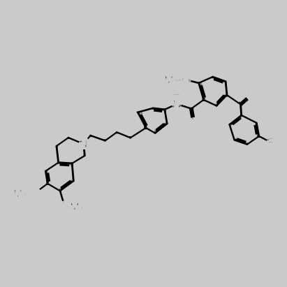 COc1cc2c(cc1OC)CN(CCCCc1ccc(NC(=O)c3cc(C(=O)c4cccc(F)c4)ccc3OC)cc1)CC2